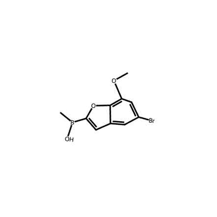 COc1cc(Br)cc2cc(B(C)O)oc12